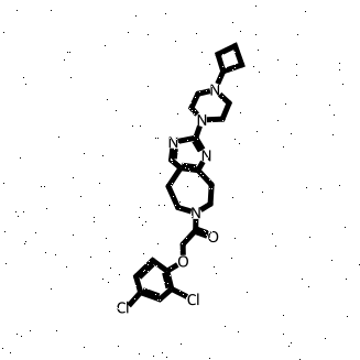 O=C(COc1ccc(Cl)cc1Cl)N1CCc2cnc(N3CCN(C4CCC4)CC3)nc2CC1